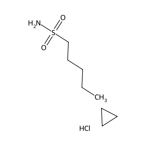 C1CC1.CCCCCS(N)(=O)=O.Cl